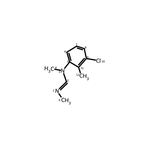 CN=CN(C)c1cccc(Cl)c1C